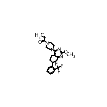 C=CC(=O)N1CCN(c2nc(OC)nc3c2CCC(c2ccccc2C(F)(F)F)C3)CC1